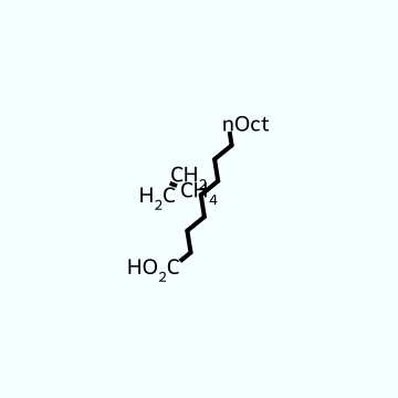 C.C=C.CCCCCCCCCCCCCCCC(=O)O